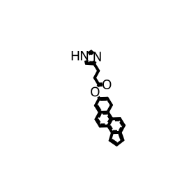 O=C(CCc1c[nH]cn1)OC1=CCc2c(ccc3c4c(ccc23)=CC=C4)=C1